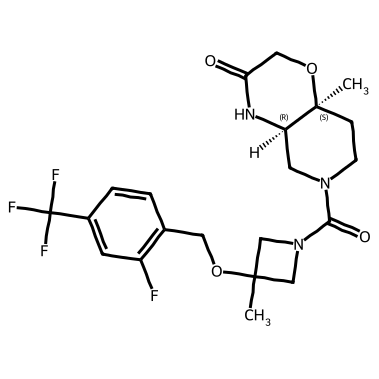 CC1(OCc2ccc(C(F)(F)F)cc2F)CN(C(=O)N2CC[C@]3(C)OCC(=O)N[C@@H]3C2)C1